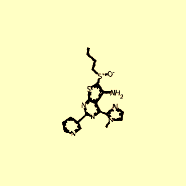 CCCC[S+]([O-])c1sc2nc(-c3cccnc3)nc(-c3nccn3C)c2c1N